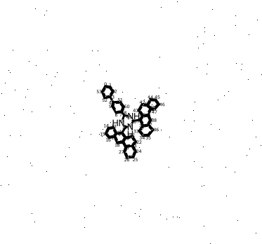 c1ccc(-c2ccc(C3NC(c4c5ccccc5cc5c4ccc4ccccc45)NC(c4c5ccccc5cc5c4ccc4ccccc45)N3)cc2)cc1